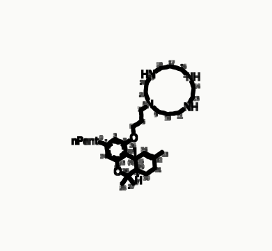 CCCCCc1cc(OCCCN2CCCNCCNCCCNCC2)c2c(c1)OC(C)(C)[C@@H]1CCC(C)=C[C@@]21C